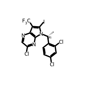 C[C@H](c1ccc(Cl)cc1Cl)n1c(I)c(C(F)(F)F)c2ncc(Cl)nc21